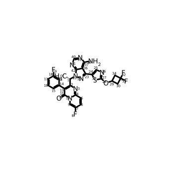 C[C@@H](c1nc2ccc(F)cn2c(=O)c1-c1cccc(F)c1)n1nc(-c2cnc(OC3CC(F)(F)C3)s2)c2c(N)ncnc21